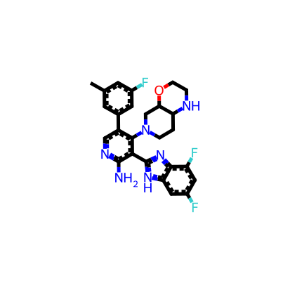 Cc1cc(F)cc(-c2cnc(N)c(-c3nc4c(F)cc(F)cc4[nH]3)c2N2CCC3NCCOC3C2)c1